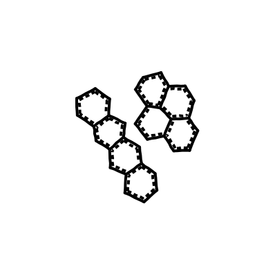 c1cc2ccc3cccc4ccc(c1)c2c34.c1ccc2cc3cc4ccccc4cc3cc2c1